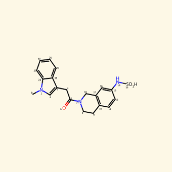 Cn1cc(CC(=O)N2CCc3ccc(NS(=O)(=O)O)cc3C2)c2ccccc21